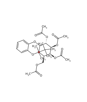 CC(=O)OC[C@H]1OC(Oc2ccccc2O[Si](C)(C)C(C)(C)C)[C@H](OC(C)=O)[C@@H](OC(C)=O)[C@H]1OC(C)=O